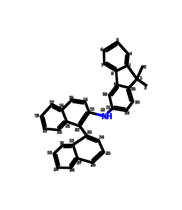 CC1(C)c2ccccc2-c2cc(Nc3ccc4ccccc4c3-c3cccc4ccccc34)ccc21